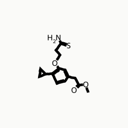 COC(=O)Cc1ccc(C2CC2)c(OCCC(N)=S)c1